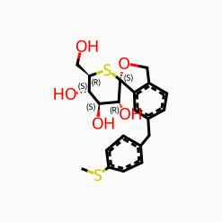 CSc1ccc(Cc2ccc3c(c2)[C@]2(OC3)S[C@H](CO)[C@@H](O)[C@H](O)[C@H]2O)cc1